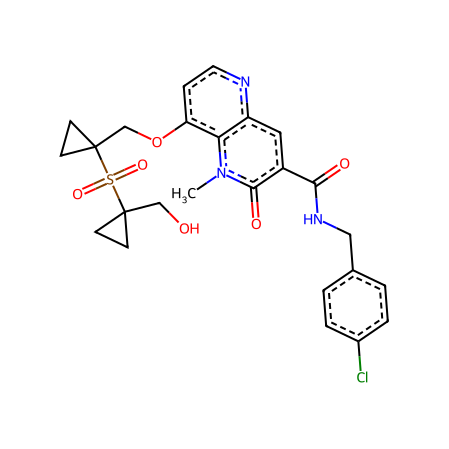 Cn1c(=O)c(C(=O)NCc2ccc(Cl)cc2)cc2nccc(OCC3(S(=O)(=O)C4(CO)CC4)CC3)c21